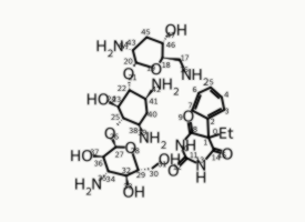 CCC1(c2ccccc2)C(=O)NC(=O)NC1=O.NC[C@H]1O[C@H](O[C@H]2[C@H](O)[C@@H](O[C@H]3O[C@H](CO)[C@@H](O)[C@H](N)[C@H]3O)[C@H](N)C[C@@H]2N)[C@H](N)C[C@@H]1O